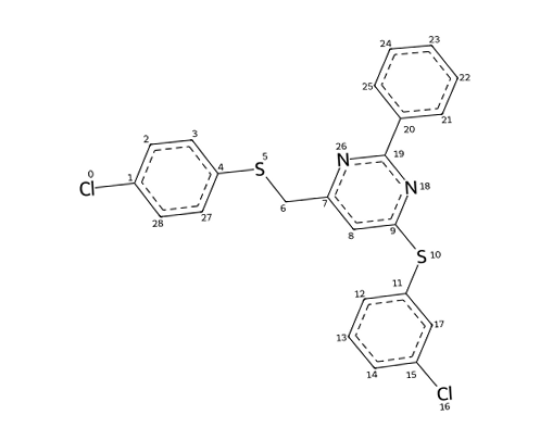 Clc1ccc(SCc2cc(Sc3cccc(Cl)c3)nc(-c3ccccc3)n2)cc1